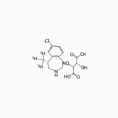 O=C(O)C(O)C(O)C(=O)O.[2H]C([2H])([2H])[C@H]1CNCCc2ccc(Cl)cc21